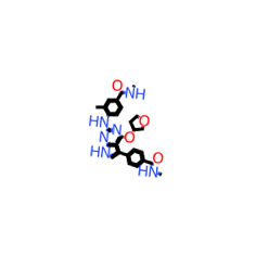 CNC(=O)c1ccc(-c2c[nH]c3nc(Nc4ccc(C(=O)NC)cc4C)nc(OC4CCOC4)c23)cc1